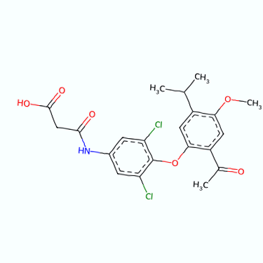 COc1cc(C(C)=O)c(Oc2c(Cl)cc(NC(=O)CC(=O)O)cc2Cl)cc1C(C)C